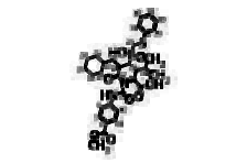 COC(=O)c1ccc(NC(=O)N(C(=O)C(CC2CCCCC2)CP(=O)(O)CSc2ccccc2)[C@@H](CC(C)C)C(=O)O)cc1